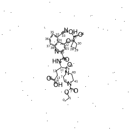 CCOC(=O)N1CCN(C(=O)C(CCC(=O)O)NC(=O)c2cc(OC3(C(=O)O)CCC3)c3c(C#N)cccc3n2)CC1